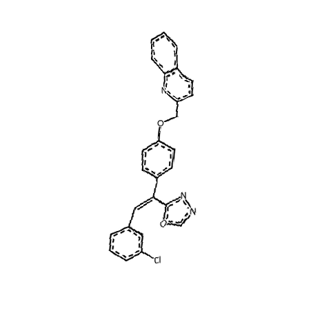 Clc1cccc(C=C(c2ccc(OCc3ccc4ccccc4n3)cc2)c2nnco2)c1